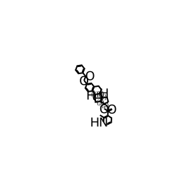 CC1=C(C(=O)O[C@H]2CC[C@H]3[C@@H]4CCc5cc(OC(=O)c6ccccc6)ccc5[C@H]4CC[C@]23C)CC=CN1